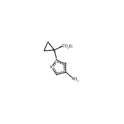 CCOC(=O)C1(n2cc([N+](=O)[O-])cn2)CC1